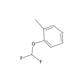 Cc1c[c]ccc1OC(F)F